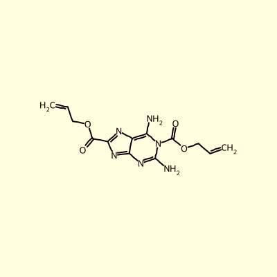 C=CCOC(=O)c1nc2nc(N)n(C(=O)OCC=C)c(N)c-2n1